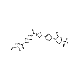 O=C(N1CC(c2ccc(N3CC[C@H](C(F)(F)F)CC3=O)cc2)C1)N1CC2(CC(c3nnc(C4CC4)[nH]3)C2)C1